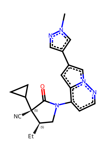 CC[C@@H]1CN(c2ccnn3cc(-c4cnn(C)c4)cc23)C(=O)[C@@]1(C#N)C1CC1